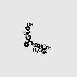 Cc1ncnc(C)c1C(=O)N1C=C2CN(CCC(c3ccccc3)C3CCN(C(=O)OC4CCC(O)C4)CC3)CC2C1